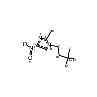 Cc1nc([N+](=O)[O-])cn1CCC(C)(C)C